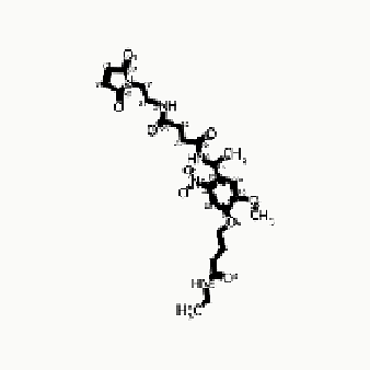 CCNC(=O)CCCOc1cc([N+](=O)[O-])c(C(C)NC(=O)CCC(=O)NCCN2C(=O)C=CC2=O)cc1OC